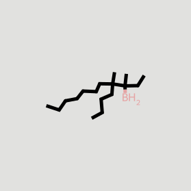 BC(C)(CC)C(C)(CCCC)CCCCCCC